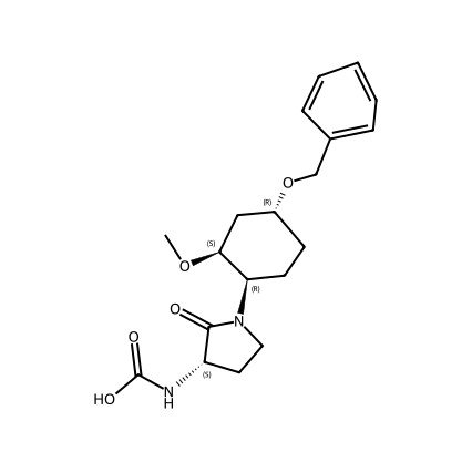 CO[C@H]1C[C@H](OCc2ccccc2)CC[C@H]1N1CC[C@H](NC(=O)O)C1=O